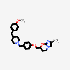 O=[N+]([O-])c1cn2c(n1)OC(COc1ccc(CN3CCC(Cc4ccc(OC(F)(F)F)cc4)CC3)cc1)CC2